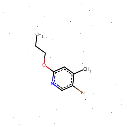 CC[CH]Oc1cc(C)c(Br)cn1